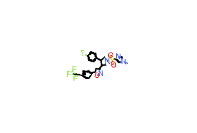 Cn1cnc(S(=O)(=O)N2CC(C3=NOC(c4ccc(C(F)(F)F)cc4)C3)C(c3ccc(F)cc3)C2)c1